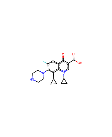 O=C(O)c1cn(C2CC2)c2c(C3CC3)c(N3CCNCC3)c(F)cc2c1=O